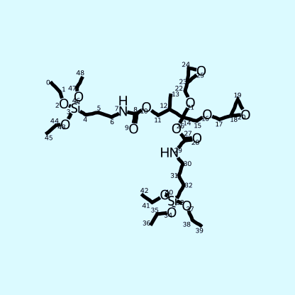 CCO[Si](CCCNC(=O)OCC(C)C(COCC1CO1)(OCC1CO1)OC(=O)NCCC[Si](OCC)(OCC)OCC)(OCC)OCC